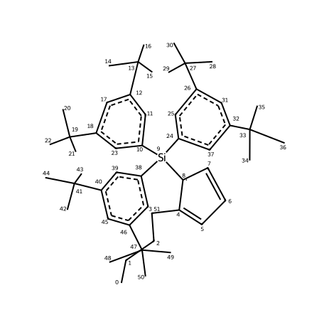 CCCCC1=CC=C[C]1[Si](c1cc(C(C)(C)C)cc(C(C)(C)C)c1)(c1cc(C(C)(C)C)cc(C(C)(C)C)c1)c1cc(C(C)(C)C)cc(C(C)(C)C)c1